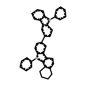 c1ccc(-n2c3ccccc3c3cc(-c4ccc5c(c4)c4ccc6c(c4n5-c4ccccc4)CCCC6)ccc32)cc1